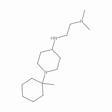 CN(C)CCNC1CCN(C2(C)CCCCC2)CC1